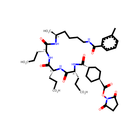 Cc1cccc(C(=O)NCCCC[C@@H](NC(=O)[C@@H](CCC(=O)O)NC(=O)[C@@H](CCC(=O)O)NC(=O)[C@@H](CCC(=O)O)NC(=O)[C@H]2CC[C@H](C(=O)ON3C(=O)CCC3=O)CC2)C(=O)O)c1